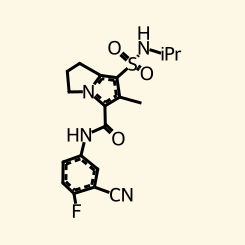 Cc1c(S(=O)(=O)NC(C)C)c2n(c1C(=O)Nc1ccc(F)c(C#N)c1)CCC2